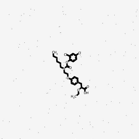 CCCCCCN(CCOc1ccc(CC(OCC)C(=O)O)cc1)C(=O)Oc1ccc(Cl)cc1Cl